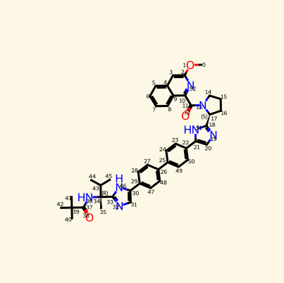 COc1cc2ccccc2c(C(=O)N2CCC[C@H]2c2ncc(-c3ccc(-c4ccc(-c5cnc([C@](C)(NC(=O)C(C)(C)C)C(C)C)[nH]5)cc4)cc3)[nH]2)n1